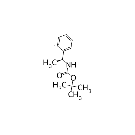 C[C@H](NC(=O)OC(C)(C)C)c1[c]cccc1